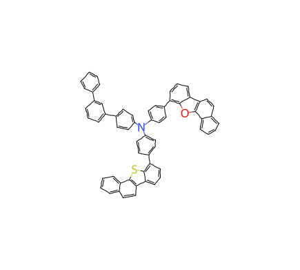 c1ccc(-c2cccc(-c3ccc(N(c4ccc(-c5cccc6c5oc5c7ccccc7ccc65)cc4)c4ccc(-c5cccc6c5sc5c7ccccc7ccc65)cc4)cc3)c2)cc1